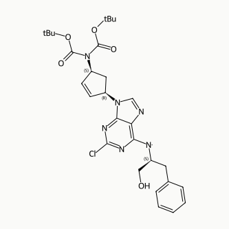 CC(C)(C)OC(=O)N(C(=O)OC(C)(C)C)[C@@H]1C=C[C@H](n2cnc3c([N][C@H](CO)Cc4ccccc4)nc(Cl)nc32)C1